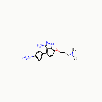 CCN(CC)CCCOc1ccc(-c2ccc(N)cc2)c2c(N)n[nH]c12